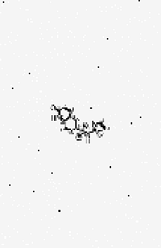 O=c1ccc2cc(S(=O)(=O)Nc3ncco3)ccc2[nH]1